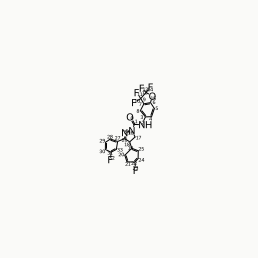 O=C(Nc1ccc2c(c1)C(F)(F)C(F)(F)O2)N1CC(c2ccc(F)cc2)C(c2cccc(F)c2)=N1